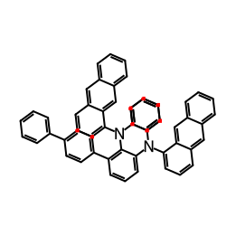 c1ccc(-c2ccc(-c3cccc(N(c4ccccc4)c4cccc5cc6ccccc6cc45)c3N(c3ccccc3)c3cccc4cc5ccccc5cc34)cc2)cc1